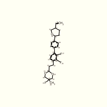 C=CC1CCC(c2ccc(-c3ccc(CCC4OCC(C)(F)CO4)c(F)c3F)cc2)OC1